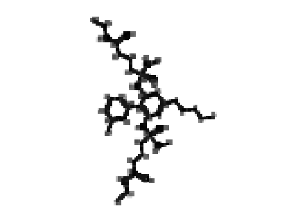 CCCCCc1cc(OP(=O)(CCCC(=O)OCC)OC)c(-c2cccc(C)c2)c(OP(=O)(CCCC(=O)OCC)OC)c1